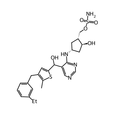 CCc1cccc(Cc2cc(C(O)c3cncnc3N[C@@H]3C[C@H](COS(N)(=O)=O)[C@@H](O)C3)sc2C)c1